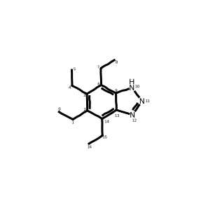 CCc1c(CC)c(CC)c2[nH]nnc2c1CC